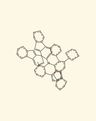 Cc1cccc(-c2ccccc2)c1N(C1=CC=C2C(=Cc3ccccc32)C12C=CC=C1C2=Cc2ccccc21)c1c2c(cc(-c3ccccc3)c1-c1ccccc1)-c1ccccc1C2